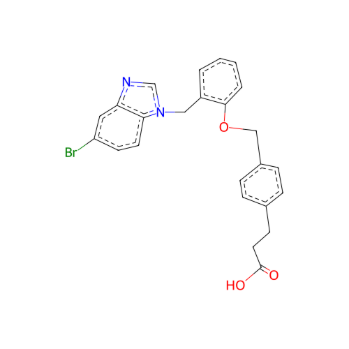 O=C(O)CCc1ccc(COc2ccccc2Cn2cnc3cc(Br)ccc32)cc1